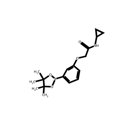 CC1(C)OB(c2cccc(OCC(=O)NC3CC3)c2)OC1(C)C